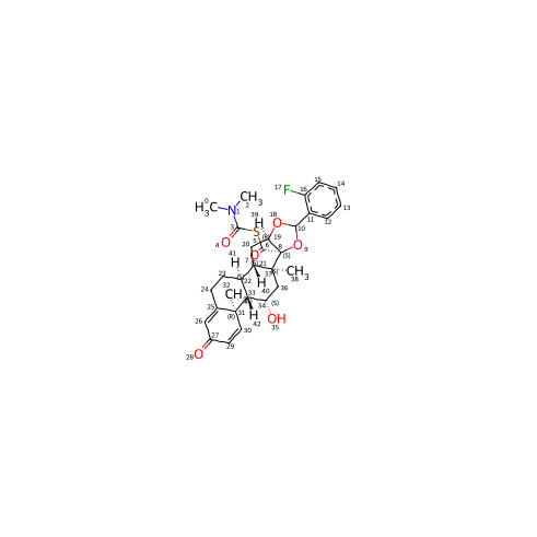 CN(C)C(=O)SC(=O)[C@@]12OC(c3ccccc3F)O[C@@H]1C[C@H]1[C@@H]3CCC4=CC(=O)C=C[C@]4(C)[C@H]3[C@@H](O)C[C@@]12C